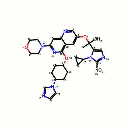 BC(C)(Oc1cnc2cc(N3CCOCC3)nc(O[C@H]3CC[C@@H](n4ccnc4)CC3)c2c1)c1cnc([N+](=O)[O-])n1C1CC1